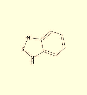 c1ccc2c(c1)[N]SN2